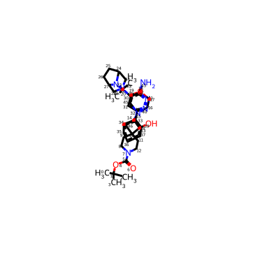 CC(C)(C)OC(=O)N1CCC2(CC1)CC(N1CCO[C@@H](C(C)(C)N3C4CCC3CN(c3cc(-c5ccccc5O)nnc3N)C4)C1)C2